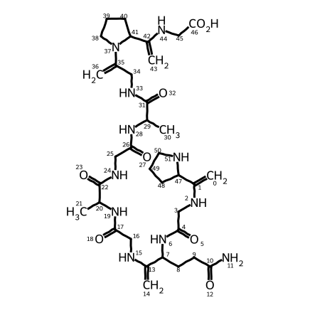 C=C(NCC(=O)NC(CCC(N)=O)C(=C)NCC(=O)NC(C)C(=O)NCC(=O)NC(C)C(=O)NCC(=C)N1CCCC1C(=C)NCC(=O)O)C1CCCN1